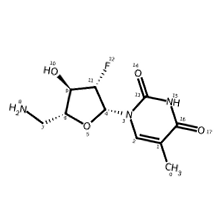 Cc1cn([C@@H]2O[C@H](CN)[C@@H](O)[C@@H]2F)c(=O)[nH]c1=O